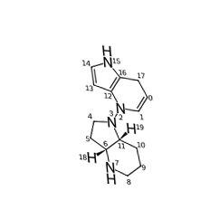 C1=CN(N2CC[C@H]3NCCC[C@H]32)c2cc[nH]c2C1